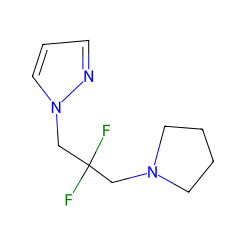 FC(F)(CN1CCCC1)Cn1cccn1